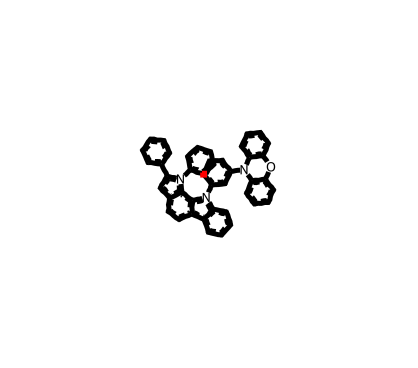 c1ccc(-c2cc3ccc4c5ccccc5n(-c5cccc(N6c7ccccc7Oc7ccccc76)c5)c4c3n2-c2ccccc2)cc1